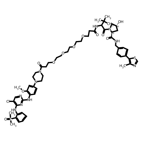 COc1cc(N2CCN(C(=O)CCOCCOCCOCCOCCC(=O)NC(C(=O)N3C[C@H](O)C[C@H]3C(=O)NCc3ccc(-c4scnc4C)cc3)C(C)(C)C)CC2)ccc1Nc1ncc(Cl)c(Nc2ccccc2P(C)(C)=O)n1